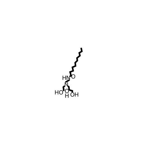 CCCCCCCCCCCC(=O)NCCN(CCO)CC(O)CO